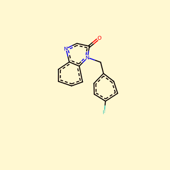 O=c1cnc2ccccc2n1Cc1ccc(F)cc1